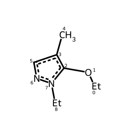 CCOc1c(C)[c]nn1CC